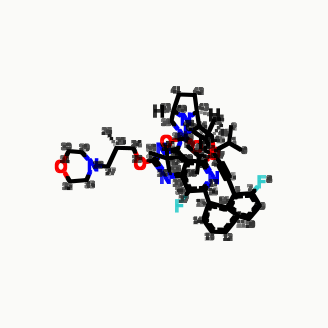 CC(C)[Si](C#Cc1c(F)ccc2cccc(-c3nc4c5c(nc(OC[C@@H](C)CN6CCOCC6)nc5c3F)N3C[C@H]5CC[C@@H]([C@H]3[C@H](C)O4)N5C(=O)OC(C)(C)C)c12)(C(C)C)C(C)C